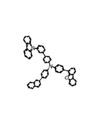 c1cc(-c2ccc(N(c3ccc(-c4ccc5ccccc5c4)cc3)c3ccc(-c4cccc5c4oc4ccccc45)cc3)cc2)cc(-n2c3ccccc3c3ccccc32)c1